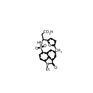 CCN1C(=O)c2cccc3c(S(=O)(=O)NC(CC(=O)O)c4ccc(C)o4)ccc1c23